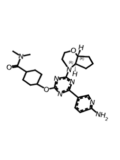 CN(C)C(=O)C1CCC(Oc2nc(-c3ccc(N)nc3)nc(N3CCO[C@@H]4CCC[C@H]43)n2)CC1